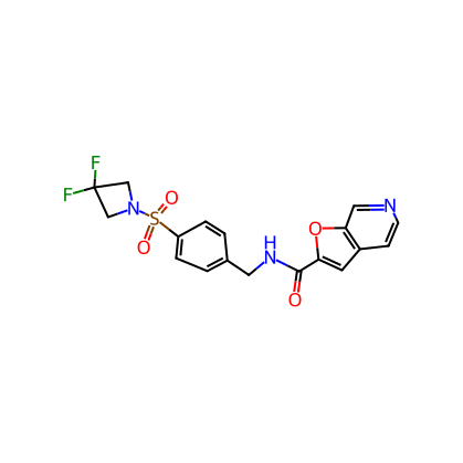 O=C(NCc1ccc(S(=O)(=O)N2CC(F)(F)C2)cc1)c1cc2ccncc2o1